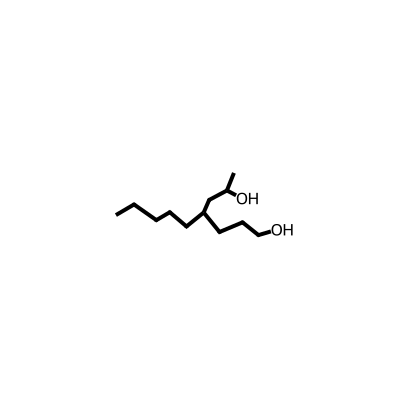 CCCCCC(CCCO)CC(C)O